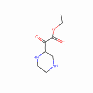 CCOC(=O)C(=O)C1CNCCN1